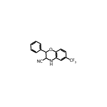 N#CC1Nc2cc(C(F)(F)F)ccc2OC1c1ccccc1